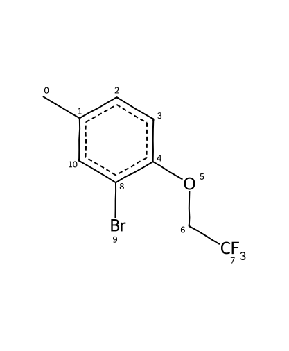 Cc1ccc(OCC(F)(F)F)c(Br)c1